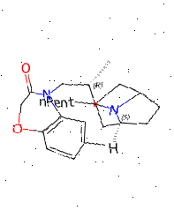 CCCCCC1CC2CC[C@@H](C1)N2C[C@@H](C)CN1C(=O)COc2ccc(C)cc21